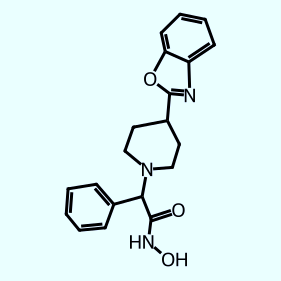 O=C(NO)C(c1ccccc1)N1CCC(c2nc3ccccc3o2)CC1